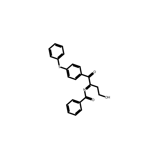 O=C(N=C(CCO)C(=O)c1ccc(Sc2ccccc2)cc1)c1ccccc1